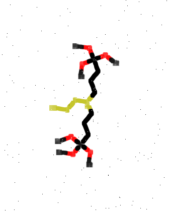 CCO[Si](CCC[SH](CCC[Si](OCC)(OCC)OCC)SSS)(OCC)OCC